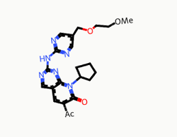 COCCOCc1cnc(Nc2ncc3cc(C(C)=O)c(=O)n(C4CCCC4)c3n2)nc1